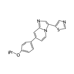 CC(C)Oc1ccc(-c2ccn3c(-c4cncs4)cnc3c2)cc1